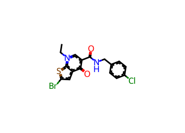 CCn1cc(C(=O)NCc2ccc(Cl)cc2)c(=O)c2cc(Br)sc21